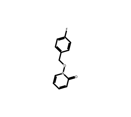 O=c1ccccn1OCc1ccc(F)cc1